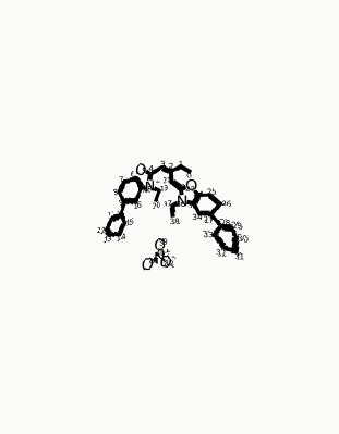 CCC(=Cc1oc2ccc(-c3ccccc3)cc2[n+]1CC)C=C1Oc2ccc(-c3ccccc3)cc2N1CC.O=[N+]([O-])[O-]